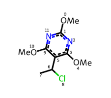 COc1nc(OC)c(C(C)Cl)c(OC)n1